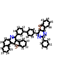 c1ccc(-c2nc(-c3ccc(-c4cccc(-c5nc6ccc7ccccc7c6c6sc7ccccc7c56)c4)cc3)c3sc4ccccc4c3n2)cc1